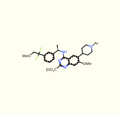 CCOC(=O)c1nc(N[C@H](C)c2cccc(C(F)(F)COC)c2)c2cc(C3CCN(C(C)=O)CC3)c(OC)cc2n1